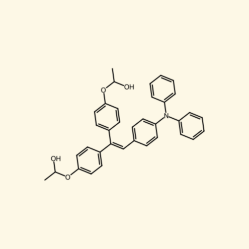 CC(O)Oc1ccc(C(=Cc2ccc(N(c3ccccc3)c3ccccc3)cc2)c2ccc(OC(C)O)cc2)cc1